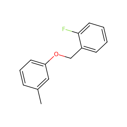 Cc1cccc(OCc2ccccc2F)c1